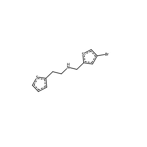 Brc1csc(CNCCc2cccs2)c1